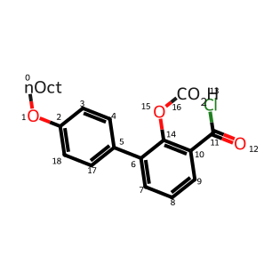 CCCCCCCCOc1ccc(-c2cccc(C(=O)Cl)c2OC(=O)O)cc1